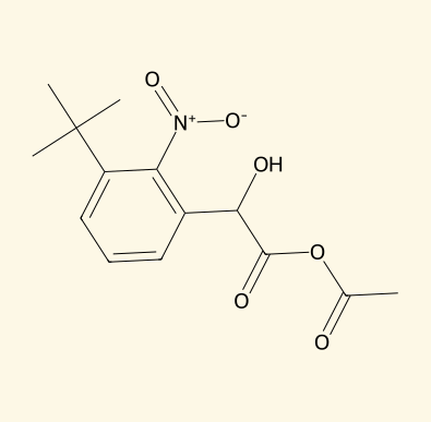 CC(=O)OC(=O)C(O)c1cccc(C(C)(C)C)c1[N+](=O)[O-]